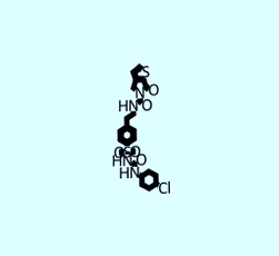 O=C(NC1CCC(Cl)CC1)NS(=O)(=O)c1ccc(CCNC(=O)N2Cc3ccsc3C2=O)cc1